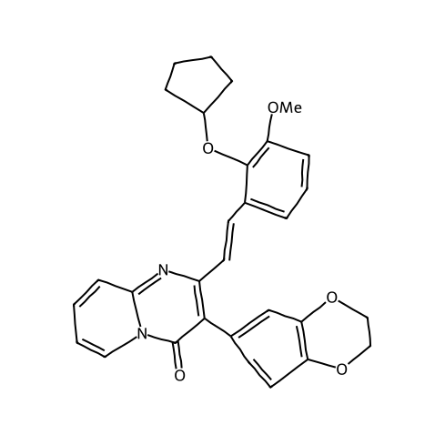 COc1cccc(/C=C/c2nc3ccccn3c(=O)c2-c2ccc3c(c2)OCCO3)c1OC1CCCC1